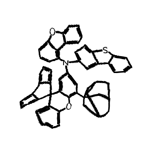 c1ccc2c(c1)Oc1c(C34CC5CC(CC(C5)C3)C4)cc(N(c3ccc4sc5ccccc5c4c3)c3cccc4oc5ccccc5c34)cc1C21c2ccccc2-c2ccccc21